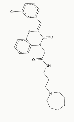 O=C(CN1C(=O)C(=Cc2cccc(Cl)c2)Sc2ccccc21)NCCCN1CCCCCC1